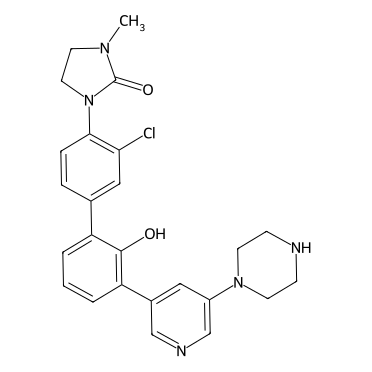 CN1CCN(c2ccc(-c3cccc(-c4cncc(N5CCNCC5)c4)c3O)cc2Cl)C1=O